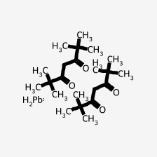 CC(C)(C)C(=O)CC(=O)C(C)(C)C.CC(C)(C)C(=O)CC(=O)C(C)(C)C.[PbH2]